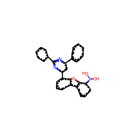 ON(O)c1cccc2c1oc1c(-c3cc(-c4ccccc4)nc(-c4ccccc4)n3)cccc12